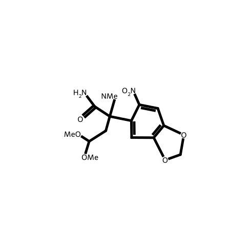 CNC(CC(OC)OC)(C(N)=O)c1cc2c(cc1[N+](=O)[O-])OCO2